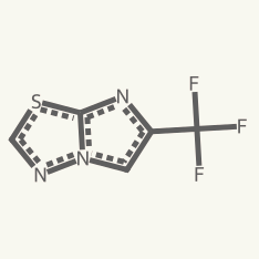 FC(F)(F)c1cn2ncsc2n1